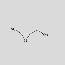 N#CC1OC1CO